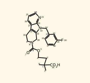 CC(C)(CCOC(=O)N1CCc2c(n(Cc3cccc(F)c3)c3ncccc23)C1)C(=O)O